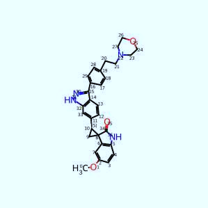 COc1ccc2c(c1)C1(C[C@H]1c1ccc3c(-c4ccc(CCN5CCOCC5)cc4)n[nH]c3c1)C(=O)N2